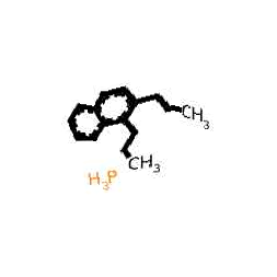 CCCc1ccc2ccccc2c1CCC.P